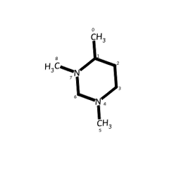 CC1CCN(C)CN1C